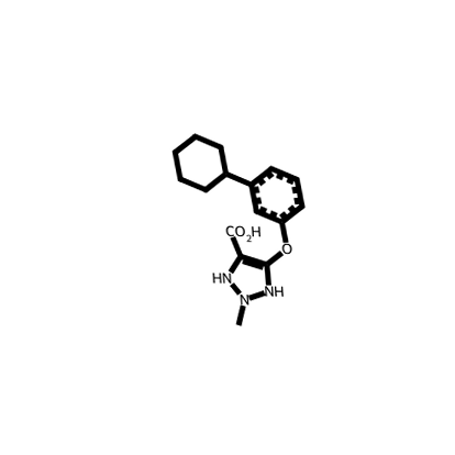 CN1NC(Oc2cccc(C3CCCCC3)c2)=C(C(=O)O)N1